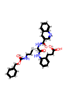 O=C(O)CCc1ccccc1NC(=O)[C@H](CCCNC(=O)OCc1ccccc1)NC(=O)c1cnc2ccccc2c1